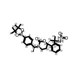 C[C@@H](c1ccc(B2OC(C)(C)C(C)(C)O2)cc1)N1CC[C@](CC(C)(C)N[SH](=O)=O)(c2ccccc2)OC1=O